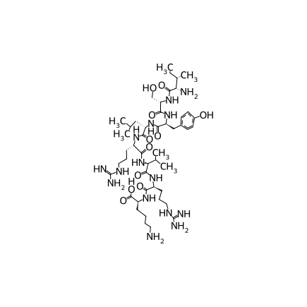 CC[C@H](C)[C@H](N)C(=O)N[C@@H](CO)C(=O)N[C@@H](Cc1ccc(O)cc1)C(=O)N[C@@H](CC(C)C)C(=O)N[C@@H](CCCNC(=N)N)C(=O)N[C@H](C(=O)N[C@@H](CCCNC(=N)N)C(=O)N[C@@H](CCCCN)C(=O)O)C(C)C